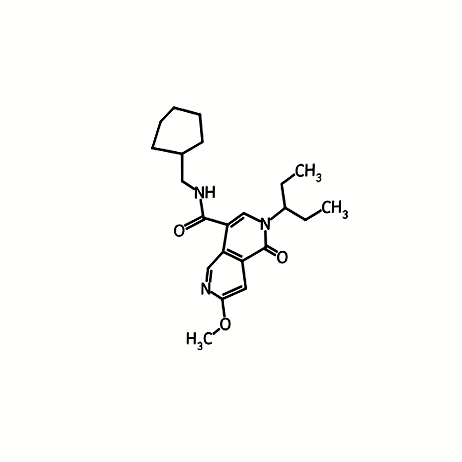 CCC(CC)n1cc(C(=O)NCC2CCCCC2)c2cnc(OC)cc2c1=O